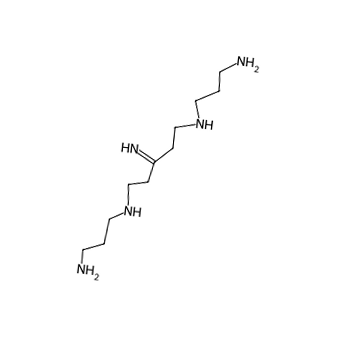 N=C(CCNCCCN)CCNCCCN